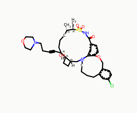 C[C@@H]1[C@@H](C)CCC[C@](O)(C#CCCN2CCOCC2)[C@@H]2CC[C@H]2CN2CCCCc3cc(Cl)ccc3COc3ccc(cc32)C(=O)NS1(=O)=O